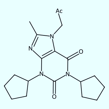 CC(=O)Cn1c(C)nc2c1c(=O)n(C1CCCC1)c(=O)n2C1CCCC1